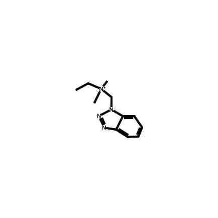 CC[N+](C)(C)Cn1nnc2ccccc21